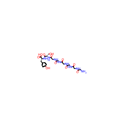 NCC(=O)NCC(=O)NCC(=O)NCC(=O)NCC(=O)NCC(=O)N[C@@H](CO)C(=O)N[C@@H](Cc1ccc(O)cc1)C(=O)O